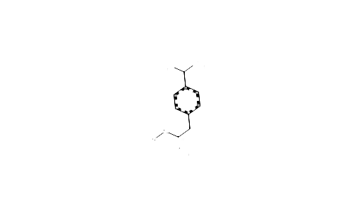 CC(C)c1ccc(C[C@H](C)NN)cc1